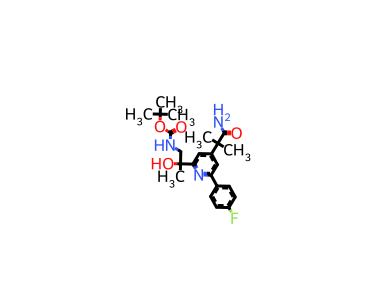 CC(C)(C)OC(=O)NCC(C)(O)c1cc(C(C)(C)C(N)=O)cc(-c2ccc(F)cc2)n1